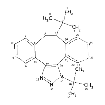 CC(C)(C)C1Cc2ccccc2-c2nnn(C(C)(C)C)c2-c2ccccc21